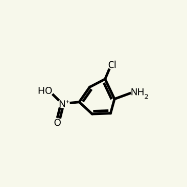 Nc1ccc([N+](=O)O)cc1Cl